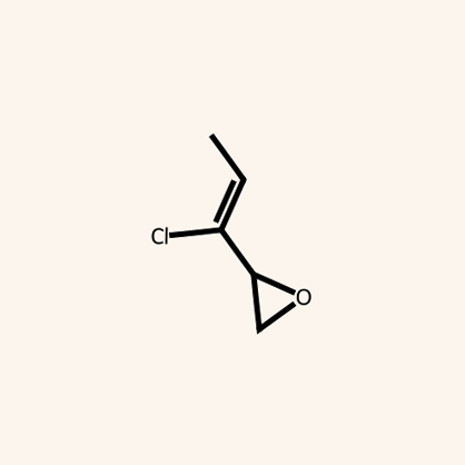 CC=C(Cl)C1CO1